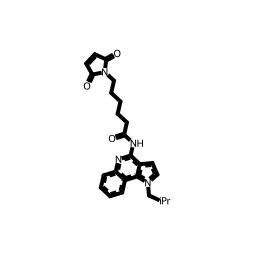 CC(C)Cn1ccc2c(NC(=O)CCCCCN3C(=O)C=CC3=O)nc3ccccc3c21